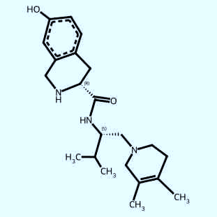 CC1=C(C)CN(C[C@@H](NC(=O)[C@H]2Cc3ccc(O)cc3CN2)C(C)C)CC1